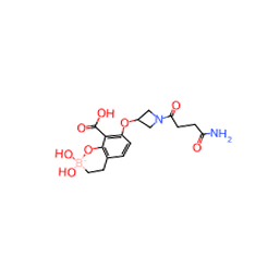 NC(=O)CCC(=O)N1CC(Oc2ccc3c(c2C(=O)O)O[B-](O)(O)CC3)C1